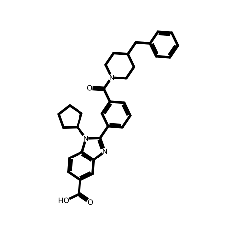 O=C(O)c1ccc2c(c1)nc(-c1cccc(C(=O)N3CCC(Cc4ccccc4)CC3)c1)n2C1CCCC1